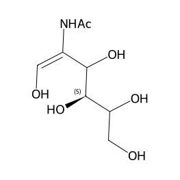 CC(=O)NC(=CO)C(O)[C@H](O)C(O)CO